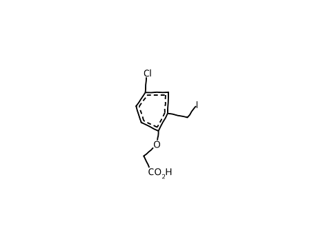 O=C(O)COc1ccc(Cl)cc1CI